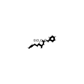 CC#CCCC=C(C)CC(OCc1ccccc1)C(=O)OCC